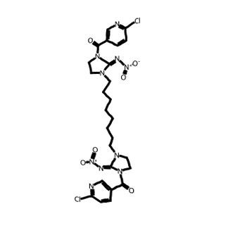 O=C(c1ccc(Cl)nc1)N1CCN(CCCCCCCCN2CCN(C(=O)c3ccc(Cl)nc3)C2=N[N+](=O)[O-])C1=N[N+](=O)[O-]